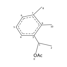 CC(=O)OC(C)c1cccc(C)c1C